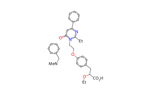 CCOC(Cc1ccc(OCCn2c(CC)nc(-c3ccccc3)cc2=O)cc1)C(=O)O.CNCc1ccccc1